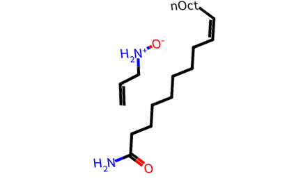 C=CC[NH2+][O-].CCCCCCCC/C=C\CCCCCCCC(N)=O